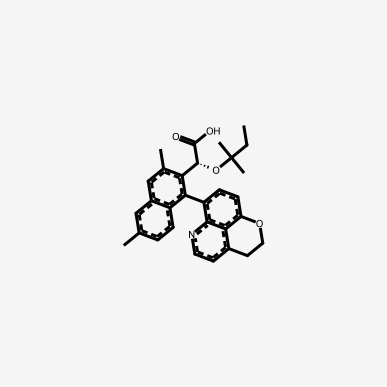 CCC(C)(C)O[C@@H](C(=O)O)c1c(C)cc2cc(C)ccc2c1-c1ccc2c3c(ccnc13)CCO2